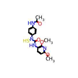 COc1ccc(NC(=O)N(S)c2ccc(NC(C)=O)cc2)c(OC)n1